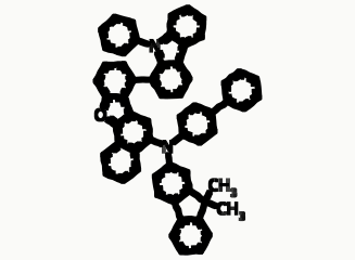 CC1(C)c2ccccc2-c2ccc(N(c3ccc(-c4ccccc4)cc3)c3cc4c(oc5cccc(-c6cccc7c8ccccc8n(-c8ccccc8)c67)c54)c4ccccc34)cc21